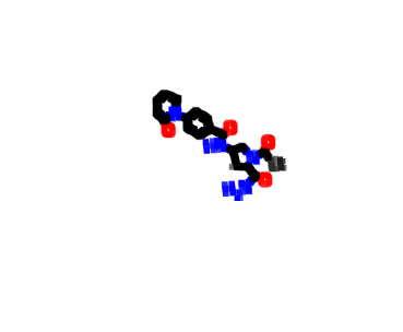 CCC(=O)N1CC(NC(=O)c2ccc(-n3ccccc3=O)cc2)[CH]C1C(N)=O